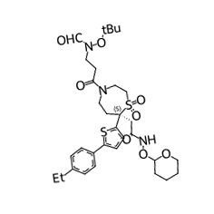 CCc1ccc(-c2ccc([C@@]3(CC(=O)NOC4CCCCO4)CCN(C(=O)CCN(C=O)OC(C)(C)C)CCS3(=O)=O)s2)cc1